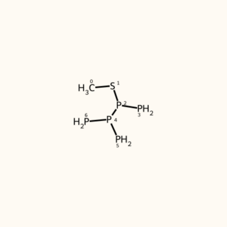 CSP(P)P(P)P